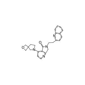 O=C1c2c(N3CCC4(COC4)C3)ccnc2CN1CCc1ccc2ccccc2n1